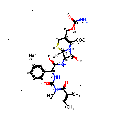 CC=C(C)C(=O)N(C)C(=O)NC(C(=O)NC1C(=O)N2C(C(=O)[O-])=C(COC(N)=O)CS[C@@H]12)c1ccccc1.[Na+]